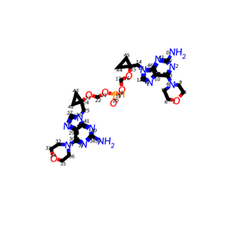 Nc1nc(N2CCOCC2)c2ncn(CC3(OCO[PH](=O)OCOC4(Cn5cnc6c(N7CCOCC7)nc(N)nc65)CC4)CC3)c2n1